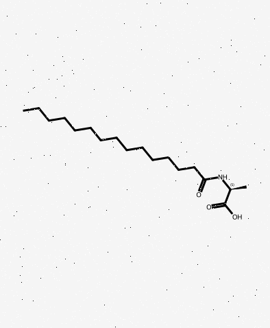 CCCCCCCCCCCCCCC(=O)N[C@@H](C)C(=O)O